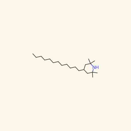 CCCCCCCCCCCCC1CC(C)(C)NC(C)(C)C1